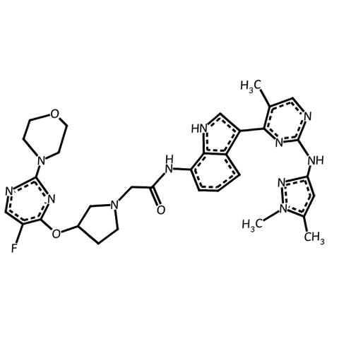 Cc1cnc(Nc2cc(C)n(C)n2)nc1-c1c[nH]c2c(NC(=O)CN3CCC(Oc4nc(N5CCOCC5)ncc4F)C3)cccc12